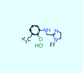 CCN1CCN=C1CNc1cccc(C)c1Cl.Cl